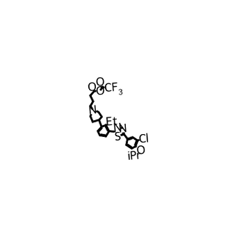 CCc1c(-c2nnc(-c3ccc(OC(C)C)c(Cl)c3)s2)cccc1C1CCN(CCCC(=O)OC(=O)C(F)(F)F)CC1